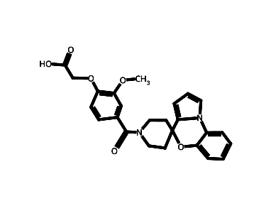 COc1cc(C(=O)N2CCC3(CC2)Oc2ccccc2-n2cccc23)ccc1OCC(=O)O